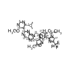 COc1ncnc(C2CC2)c1-c1ncc2nc(-c3c(C)noc3C)n(Cc3ccc(-c4nc(C(F)(F)F)cn4C(C)C)cc3)c2n1